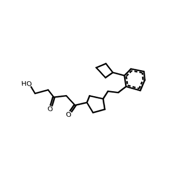 O=C(CCO)CC(=O)C1CCC(CCc2ccccc2C2CCC2)C1